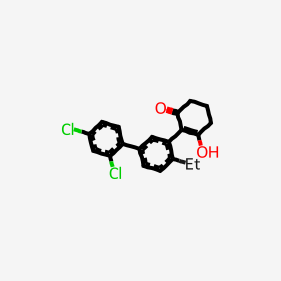 CCc1ccc(-c2ccc(Cl)cc2Cl)cc1C1=C(O)CCCC1=O